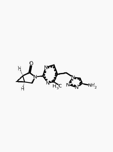 Cc1nc(N2C[C@H]3C[C@H]3C2=O)ncc1Cn1cc(N)nn1